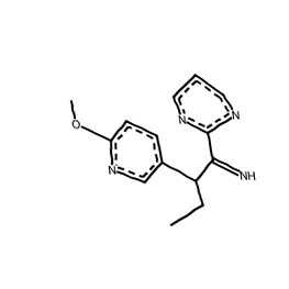 CCC(C(=N)c1ncccn1)c1ccc(OC)nc1